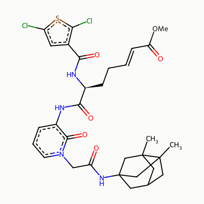 COC(=O)/C=C/CC[C@H](NC(=O)c1cc(Cl)sc1Cl)C(=O)Nc1cccn(CC(=O)NC23CC4CC(C)(C2)C(C)(C4)C3)c1=O